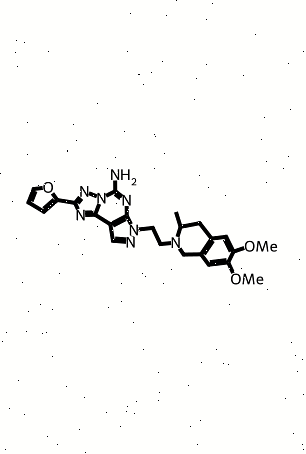 COc1cc2c(cc1OC)CN(CCn1ncc3c1nc(N)n1nc(-c4ccco4)nc31)C(C)C2